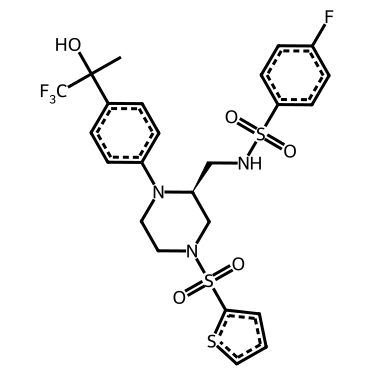 CC(O)(c1ccc(N2CCN(S(=O)(=O)c3cccs3)C[C@@H]2CNS(=O)(=O)c2ccc(F)cc2)cc1)C(F)(F)F